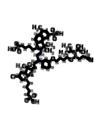 Cc1cc(S(=O)(=O)O)cc2c3c(ccc12)[N+](CCCCS(=O)(=O)O)=C(/C=C/C(=C/C=C1/N=C2C(=CC(Cl)=CN2CCCCS(=O)(=O)O)C1(C)C)c1cccc(OCCCCOP(CCC#N)N(C(C)C)C(C)C)c1)C3(C)C